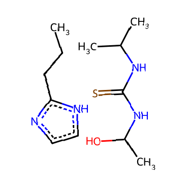 CC(C)NC(=S)NC(C)O.CCCc1ncc[nH]1